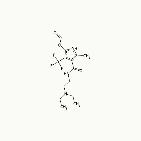 CCN(CC)CCNC(=O)c1c(C)[nH]c(OC=O)c1C(F)(F)F